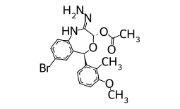 COc1cccc([C@@H]2O[C@@H](OC(C)=O)/C(=N/N)Nc3ccc(Br)cc32)c1C